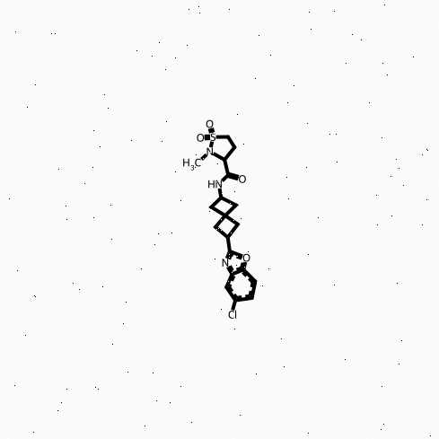 CN1C(C(=O)NC2CC3(C2)CC(c2nc4cc(Cl)ccc4o2)C3)CCS1(=O)=O